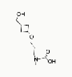 CN(CCCOC1CC(CO)C1)C(=O)O